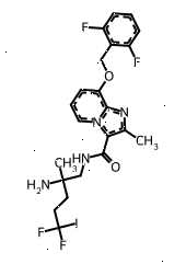 Cc1nc2c(OCc3c(F)cccc3F)cccn2c1C(=O)NCC(C)(N)CCC(F)(F)I